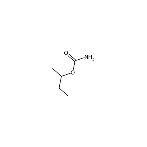 CCC(C)OC(N)=O